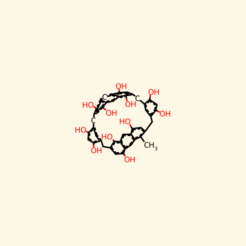 Cc1c2cc(O)c3cc4c(O)c(cc(O)c4cc13)Cc1cc(c(O)cc1O)Cc1cc(O)c3cc4c(O)c(cc(O)c4cc3c1O)Cc1cc(c(O)cc1O)C2